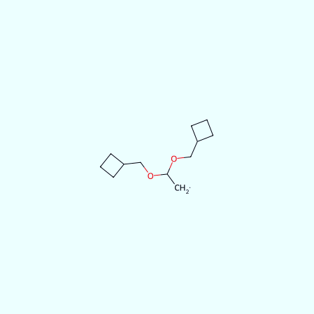 [CH2]C(OCC1CCC1)OCC1CCC1